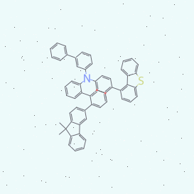 CC1(C)c2ccccc2-c2cc(-c3ccccc3-c3ccccc3N(c3ccc(-c4cccc5sc6ccccc6c45)cc3)c3cccc(-c4ccccc4)c3)ccc21